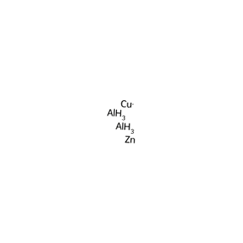 [AlH3].[AlH3].[Cu].[Zn]